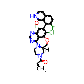 C=CC(=O)N1CCN2c3ncnc4c(F)c(-c5c(F)ccc6cc[nH]c(=O)c56)c(Cl)c(c34)OC[C@@H]2C1